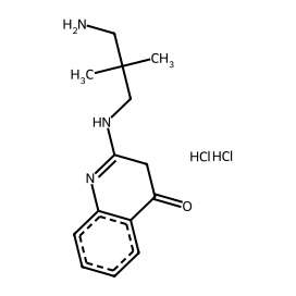 CC(C)(CN)CNC1=Nc2ccccc2C(=O)C1.Cl.Cl